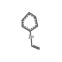 C=[CH][Zn][c]1ccccc1